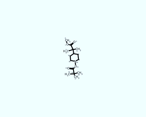 COC(=O)C(C)(C)C1CCN(OC(=O)C(C)(C)C)CC1